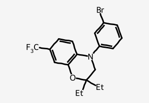 CCC1(CC)CN(c2cccc(Br)c2)c2ccc(C(F)(F)F)cc2O1